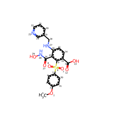 COc1ccc(S(=O)(=O)c2c(C(=O)O)ccc(NCc3cccnc3)c2C(=O)NO)cc1